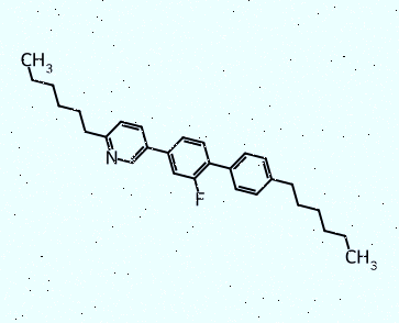 CCCCCCc1ccc(-c2ccc(-c3ccc(CCCCCC)nc3)cc2F)cc1